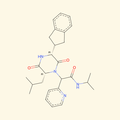 CC(C)C[C@@H]1C(=O)N[C@H](C2Cc3ccccc3C2)C(=O)N1C(C(=O)NC(C)C)c1ccccn1